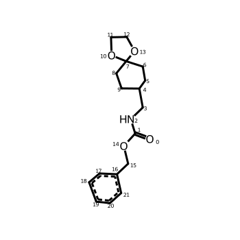 O=C(NCC1CCC2(CC1)OCCO2)OCc1ccccc1